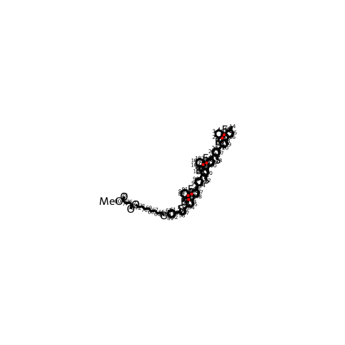 CCC12CCCC(CC)(CCC1)C21c2cc(C)ccc2-c2ccc(-c3ccc4c(c3)sc3cc5c(cc34)C3(c4cc6c(cc4-5)sc4cc(-c5ccc7c(c5)C5(c8cc(-c9ccc(-c%10ccc(OCCCCCCCCOC(=O)/C=C/C(=O)OC)cc%10)s9)ccc8-7)C7(CC)CCCC5(CC)CCC7)ccc46)C4(CC)CCCC3(CC)CCC4)cc21